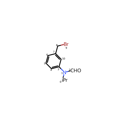 CC(C)N(C=O)c1cccc(CBr)c1